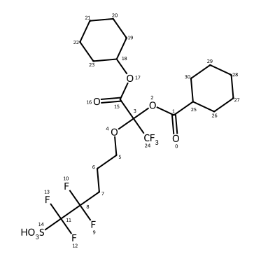 O=C(OC(OCCCC(F)(F)C(F)(F)S(=O)(=O)O)(C(=O)OC1CCCCC1)C(F)(F)F)C1CCCCC1